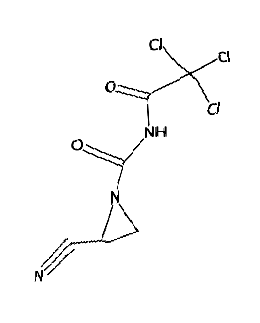 N#CC1CN1C(=O)NC(=O)C(Cl)(Cl)Cl